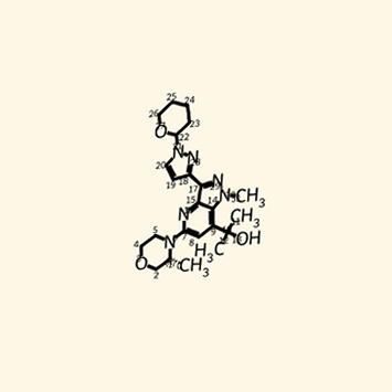 C[C@@H]1COCCN1c1cc(C(C)(C)O)c2c(n1)c(-c1ccn(C3CCCCO3)n1)nn2C